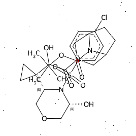 CC(C)(C)OC(=O)N1C2CCC1CN(C(=O)C(O)C1([C@H]3COC[C@@H](O)N3S(=O)(=O)c3ccc(Cl)cc3)CC1)C2